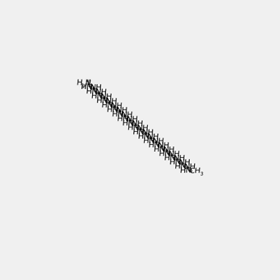 CNNNNNNNNNNNNNNNNNNNNNNNNNNNNNNNNNNNNNNNN